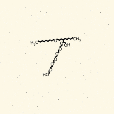 CCCCCCCCCCOCCCC(CCCCCC)C(CO)OCCOCCOCCOCCOCCOCCO